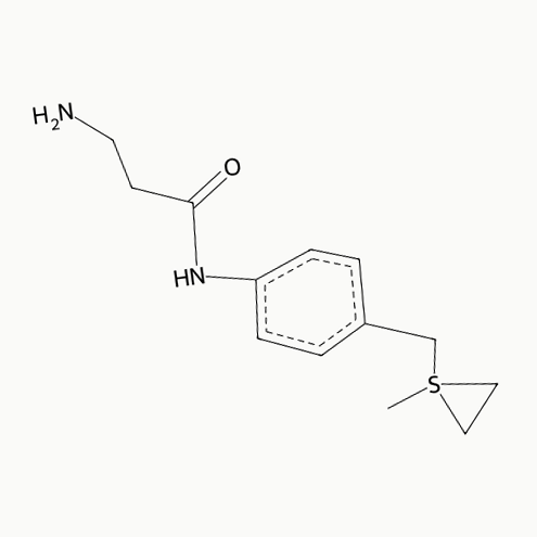 CS1(Cc2ccc(NC(=O)CCN)cc2)CC1